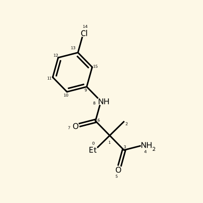 CCC(C)(C(N)=O)C(=O)Nc1cccc(Cl)c1